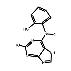 Oc1nc(N(Cl)c2ccccc2O)c2[nH]cnc2n1